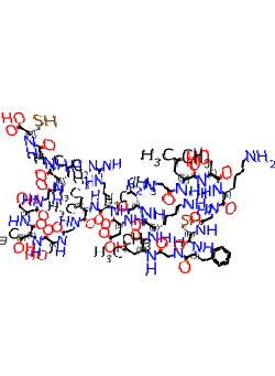 CC[C@H](C)[C@H](NC(=O)[C@H](CCCNC(=N)N)NC(=O)[C@H](CC(=O)O)NC(=O)[C@H](CC(C)C)NC(=O)[C@H](CCCCN)NC(=O)[C@H](CC(C)C)NC(=O)CNC(=O)[C@H](Cc1ccccc1)NC(=O)[C@H](CS)NC(=O)CNC(=O)[C@H](CCCCN)NC(=O)[C@H](CO)NC(=O)[C@H](CC(C)C)NC(=O)CN)C(=O)NCC(=O)N[C@@H](CO)C(=O)N[C@H](C(=O)N[C@@H](CO)C(=O)NCC(=O)N[C@@H](CC(C)C)C(=O)NCC(=O)N[C@@H](CS)C(=O)O)[C@@H](C)O